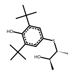 C[C@@H](O)[C@@H](C)Sc1cc(C(C)(C)C)c(O)c(C(C)(C)C)c1